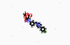 CC1(C)OC(=O)C(=CNc2cccc(CN3CCN(c4ccc(F)cc4)CC3)c2)C(=O)O1